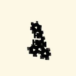 c1ccc(CNCC2=NC(c3ccccc3)C(c3ccccc3)N2)cc1